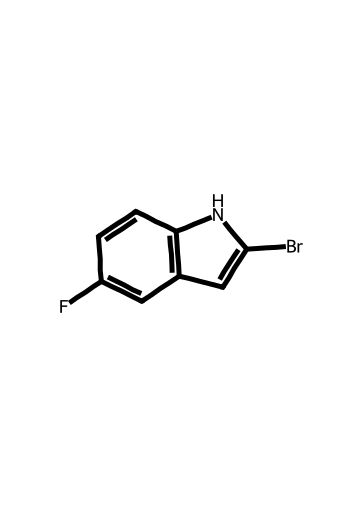 Fc1ccc2[nH]c(Br)cc2c1